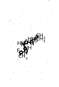 Cc1cc(F)cc(-c2nccc3[nH]c(-c4n[nH]c5cnc(-c6cncc(NC(=O)CN(C)C)c6)cc45)cc23)c1